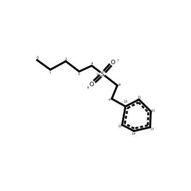 CCCCCS(=O)(=O)CCc1ccccc1